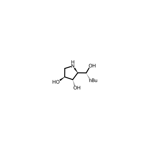 CCCC[C@@H](O)[C@@H]1NC[C@H](O)[C@H]1O